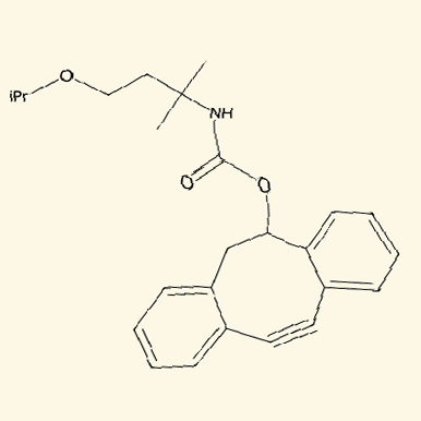 CC(C)OCCC(C)(C)NC(=O)OC1Cc2ccccc2C#Cc2ccccc21